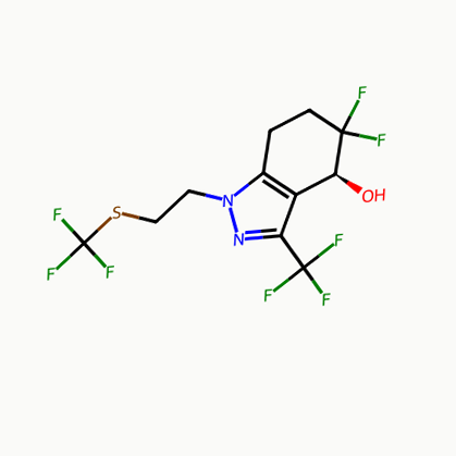 O[C@H]1c2c(C(F)(F)F)nn(CCSC(F)(F)F)c2CCC1(F)F